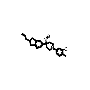 C=CCC1Cc2ccc(C3(N=O)CCN(c4ccc(C)c(Cl)c4)CC3)cc2C1